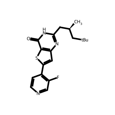 C[C@H]([CH]c1nc2cc(-c3ccncc3F)sc2c(=O)[nH]1)CC(C)(C)C